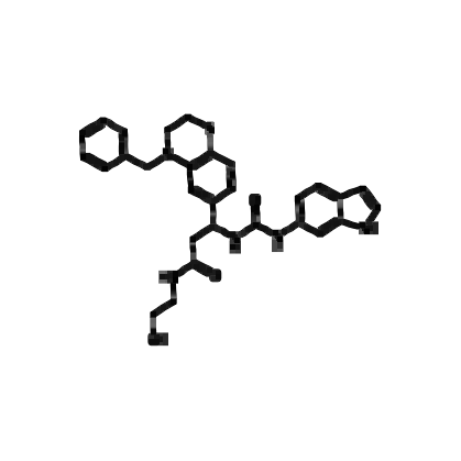 O=C(CC(NC(=O)Nc1ccc2cc[nH]c2c1)c1ccc2c(c1)N(Cc1ccccc1)CCS2)NCCO